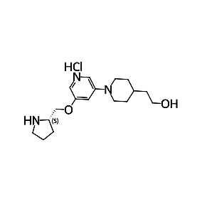 Cl.OCCC1CCN(c2cncc(OC[C@@H]3CCCN3)c2)CC1